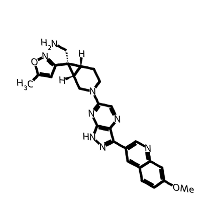 COc1ccc2cc(-c3n[nH]c4nc(N5CC[C@@H]6[C@H](C5)[C@@]6(CN)c5cc(C)on5)cnc34)cnc2c1